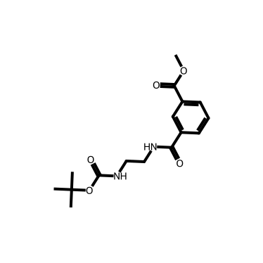 COC(=O)c1cccc(C(=O)NCCNC(=O)OC(C)(C)C)c1